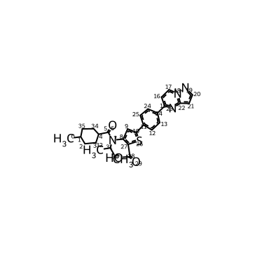 CC1CCC(C(=O)N(c2cc(-c3ccc(-c4ccn5nccc5n4)cc3)sc2C(=O)O)C(C)C)CC1